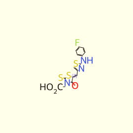 O=C(O)CN1C(=O)/C(=C/c2csc(Nc3ccc(F)cc3)n2)SC1=S